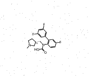 CN1CC[C@H](CN(C(=O)O)c2ccc(F)cc2-c2cc(F)cc(F)c2)C1